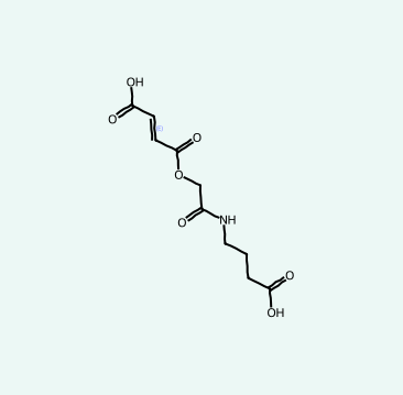 O=C(O)/C=C/C(=O)OCC(=O)NCCCC(=O)O